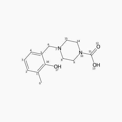 Cc1cccc(CN2CCN(C(=O)O)CC2)c1O